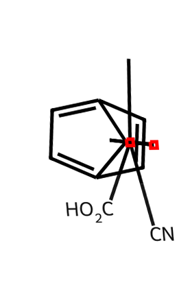 CC1CCCC(C#N)(C(=O)O)C12C1=CC=C2C=C1